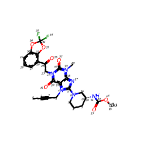 CC#CCn1c(N2CCC[C@@H](NC(=O)OC(C)(C)C)C2)nc2c1c(=O)n(CC(=O)c1cccc3c1OC(F)(F)O3)c(=O)n2C